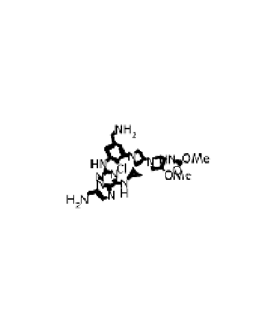 COC(=O)N[C@H]1CN(C2CN(c3cc(CN)cc(Nc4nc(NC5CC5)c5ncc(CN)n5n4)c3Cl)C2)C[C@@H]1OC